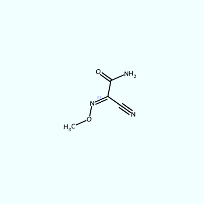 CO/N=C(\C#N)C(N)=O